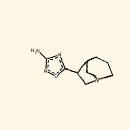 Nc1noc(C2CN3CCCC2C3)n1